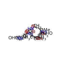 CO[C@H]1/C=C\C=C(/C)C(=O)NC2=CC(=O)C(NC(=O)c3ccc(CN4CCN(C=O)CC4)cc3)=C(C[C@@H](C)C[C@H](OC)[C@H](O)[C@@H](C)/C=C(\C)[C@@H]1NOC=O)C2=O